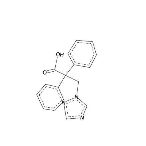 O=C(O)C(Cn1cncn1)(c1ccccc1)c1ccccc1